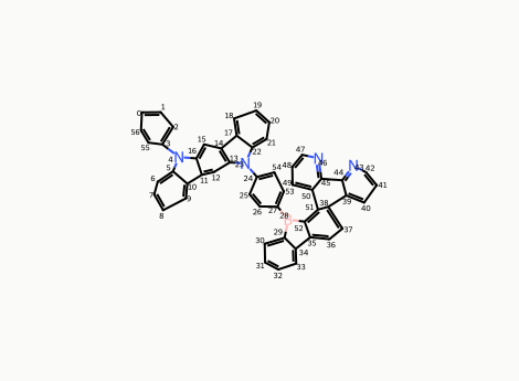 c1ccc(-n2c3ccccc3c3cc4c(cc32)c2ccccc2n4-c2ccc(B3c4ccccc4-c4ccc5c6cccnc6c6ncccc6c5c43)cc2)cc1